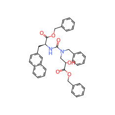 O=C(OCc1ccccc1)C(O)CN(Cc1ccccc1)C(=O)N[C@@H](Cc1ccc2ccccc2c1)C(=O)OCc1ccccc1